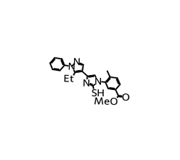 CCc1c(-c2cn(-c3cc(C(=O)OC)ccc3C)c(S)n2)cnn1-c1ccccc1